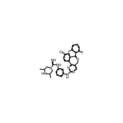 CC1CN(C(=N)Nc2cccc(Nc3ncc4c(n3)-c3ccc(Cl)cc3C(c3c(F)cccc3F)=NC4)c2)CC(C)N1